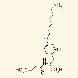 Cl.NCCCCCCOc1ccc(CC(NC(=O)CCC(=O)O)C(=O)O)cc1